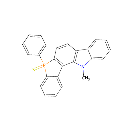 Cn1c2ccccc2c2ccc3c(c21)-c1ccccc1P3(=S)c1ccccc1